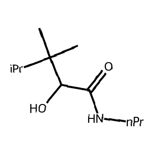 CCCNC(=O)C(O)C(C)(C)C(C)C